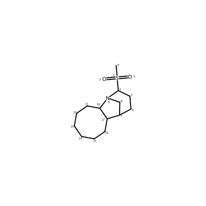 CS(=O)(=O)C1CCC2CN1C1CCCCCCC21